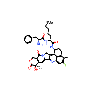 CC[C@@]1(O)C(=O)OCc2c1cc1n(c2=O)Cc2c-1nc1cc(F)c(C)c3c1c2[C@@H](NC(=O)[C@H](CCCCNC)NC(=O)[C@@H](N)Cc1ccccc1)CC3